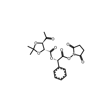 CC(=O)[C@@H]1OC(C)(C)O[C@H]1C(=O)O[C@H](C(=O)ON1C(=O)CCC1=O)c1ccccc1